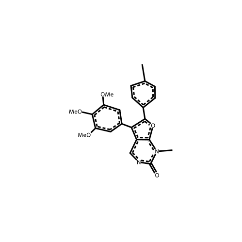 COc1cc(-c2c(-c3ccc(C)cc3)oc3c2cnc(=O)n3C)cc(OC)c1OC